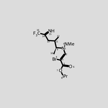 CNN(/C=C(\Br)C(=O)OC(C)C)[C@@H](C)C(C)CC(=N)C(F)(F)F